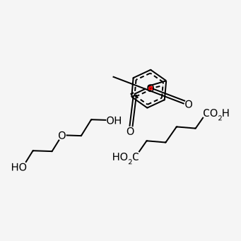 O=C(O)CCCCC(=O)O.O=c1oc(=O)c2ccc1cc2.OCCOCCO